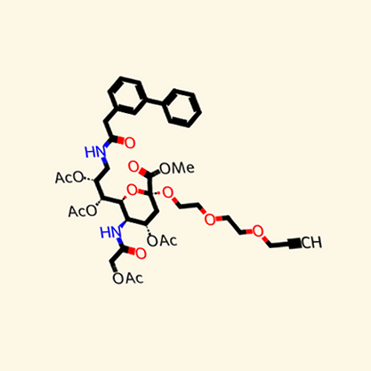 C#CCOCCOCCO[C@]1(C(=O)OC)C[C@H](OC(C)=O)[C@@H](NC(=O)COC(C)=O)[C@H]([C@H](OC(C)=O)[C@@H](CNC(=O)Cc2cccc(-c3ccccc3)c2)OC(C)=O)O1